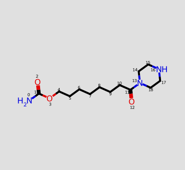 NC(=O)OCCCCCCCC(=O)N1CCNCC1